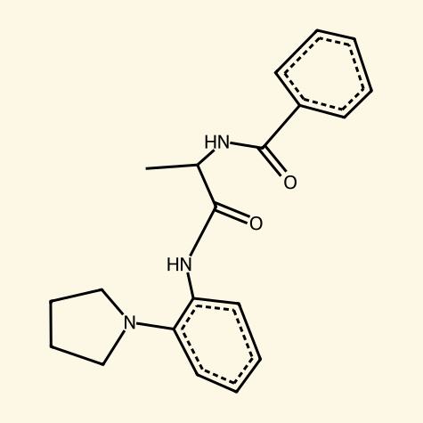 CC(NC(=O)c1ccccc1)C(=O)Nc1ccccc1N1CCCC1